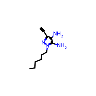 C#Cc1nn(CCCCCC)c(N)c1N